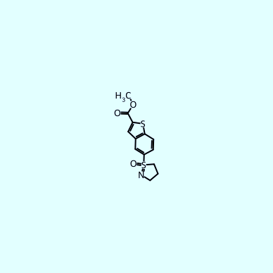 COC(=O)c1cc2cc(S3(=O)=NCCC3)ccc2s1